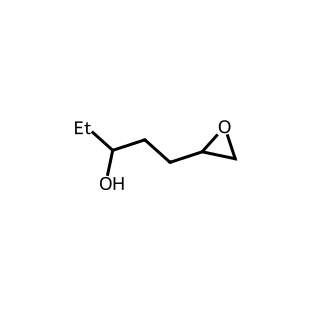 CCC(O)CCC1CO1